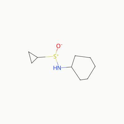 [O-][S+](NC1CCCCC1)C1CC1